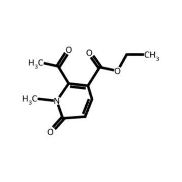 CCOC(=O)c1ccc(=O)n(C)c1C(C)=O